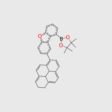 CC1(C)OB(c2cccc3oc4ccc(C5=C6C=CC7=CCCC8=CC=C(C=C5)C6C78)cc4c23)OC1(C)C